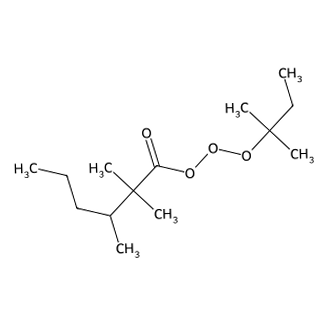 CCCC(C)C(C)(C)C(=O)OOOC(C)(C)CC